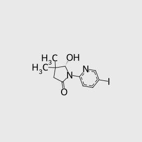 CC1(C)CC(=O)N(c2ccc(I)cn2)[C@H]1O